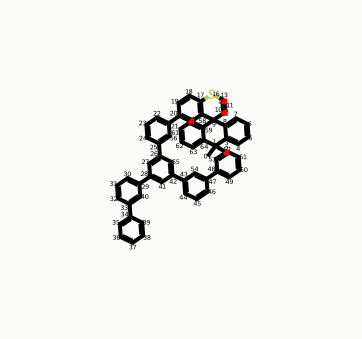 CC1(C)c2ccccc2C2(c3ccccc3Sc3ccc(-c4cccc(-c5cc(-c6cccc(-c7ccccc7)c6)cc(-c6cccc(-c7ccccc7)c6)c5)c4)cc32)c2ccccc21